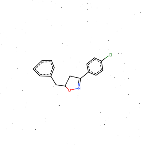 Clc1ccc(C2=NOC(Cc3ccccc3)C2)cc1